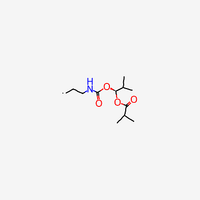 [CH2]CCNC(=O)O[C@H](OC(=O)C(C)C)C(C)C